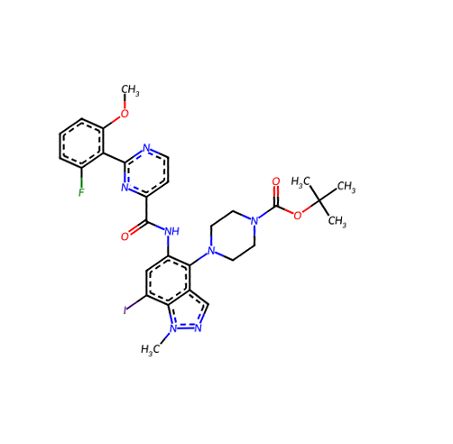 COc1cccc(F)c1-c1nccc(C(=O)Nc2cc(I)c3c(cnn3C)c2N2CCN(C(=O)OC(C)(C)C)CC2)n1